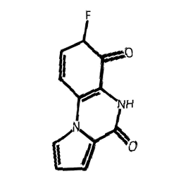 O=C1c2[nH]c(=O)c3cccn3c2C=CC1F